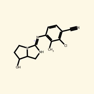 Cc1c(/N=C2\NCC3C(O)CCN23)ccc(C#N)c1Cl